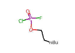 CCCCCCOP(=O)(F)Cl